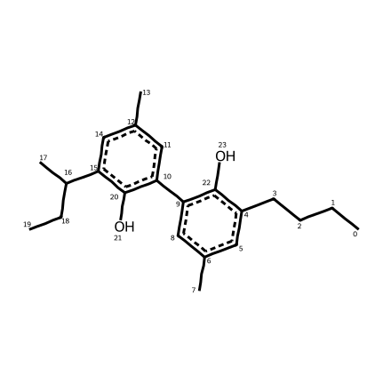 CCCCc1cc(C)cc(-c2cc(C)cc(C(C)CC)c2O)c1O